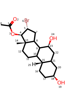 CC(=O)O[C@H]1[C@H](Br)CC2C3C(CC[C@@]21C)[C@H]1CC[C@H](O)CC1C[C@@H]3O